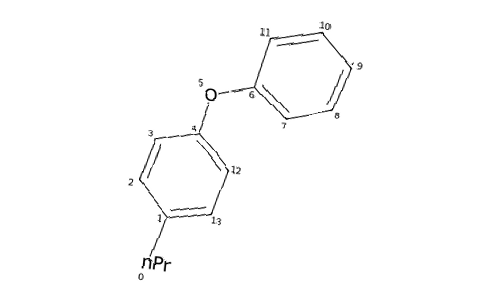 CCCc1ccc(Oc2cc[c]cc2)cc1